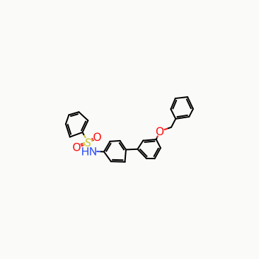 O=S(=O)(Nc1ccc(-c2cccc(OCc3ccccc3)c2)cc1)c1ccccc1